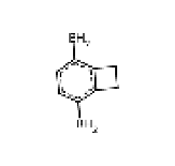 Bc1ccc(B)c2c1CC2